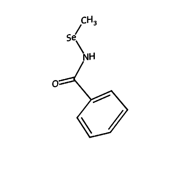 C[Se]NC(=O)c1ccccc1